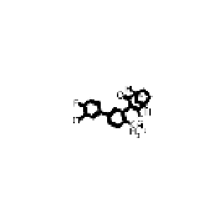 CC1=C(c2cc(-c3ccc(F)c(Cl)c3)ccc2C)C(=O)[C@@H]2CC[C@H]1C2